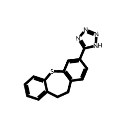 c1ccc2c(c1)CCc1ccc(-c3nnn[nH]3)cc1S2